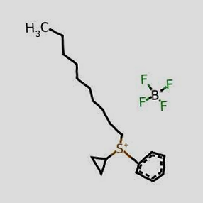 CCCCCCCCCC[S+](c1ccccc1)C1CC1.F[B-](F)(F)F